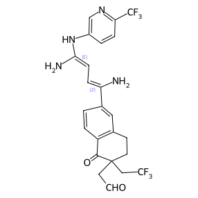 N/C(=C\C=C(/N)Nc1ccc(C(F)(F)F)nc1)c1ccc2c(c1)CCC(CC=O)(CC(F)(F)F)C2=O